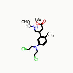 Cc1ccc(N(CCCl)CCCl)cc1C(CNBC=O)CC(=O)OC(C)(C)C